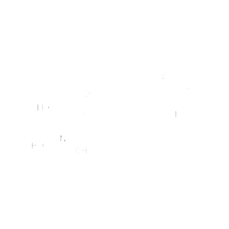 [CH2]C(C(=O)Cc1ccc(C(F)(F)F)cc1)N(C)C